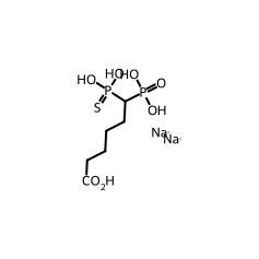 O=C(O)CCCCC(P(=O)(O)O)P(O)(O)=S.[Na].[Na]